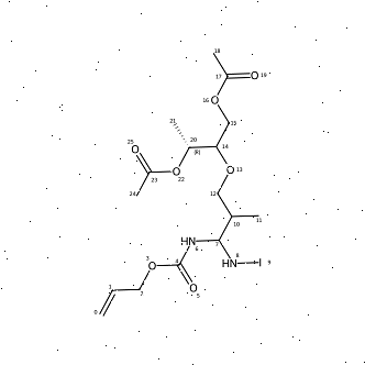 C=CCOC(=O)NC(NI)C(C)COC(COC(C)=O)[C@@H](C)OC(C)=O